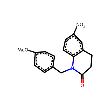 COc1ccc(CN2C(=O)CCc3cc([N+](=O)[O-])ccc32)cc1